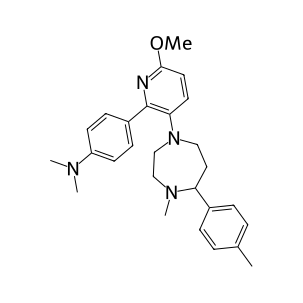 COc1ccc(N2CCC(c3ccc(C)cc3)N(C)CC2)c(-c2ccc(N(C)C)cc2)n1